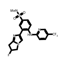 CNS(=O)(=O)c1ccc(Nc2ccc(C(F)(F)F)cn2)c(-c2cn3c(n2)CC(F)C3)c1